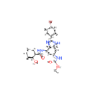 CCOC(=O)Nc1cc(NC(=O)c2ccccc2OC)c2nc(-c3ccc(Br)cc3)[nH]c2c1